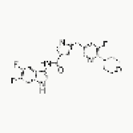 O=C(Nc1c[nH]c2cc(F)c(F)cc12)c1cnn(Cc2cnc(C3CCOCC3)c(F)c2)c1